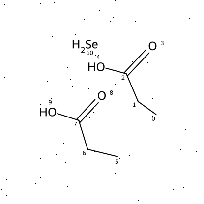 CCC(=O)O.CCC(=O)O.[SeH2]